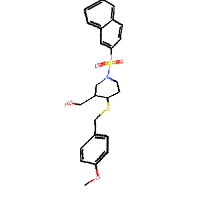 COc1ccc(CSC2CCN(S(=O)(=O)c3ccc4ccccc4c3)CC2CO)cc1